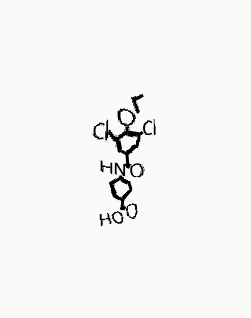 CCCOc1c(Cl)cc(C(=O)Nc2ccc(C(=O)O)cc2)cc1Cl